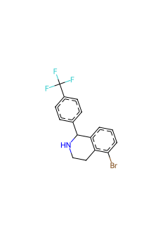 FC(F)(F)c1ccc(C2NCCc3c(Br)cccc32)cc1